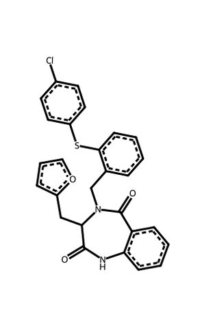 O=C1Nc2ccccc2C(=O)N(Cc2ccccc2Sc2ccc(Cl)cc2)C1Cc1ccco1